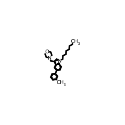 CCCCCCCCn1cc(CN2CCOCC2)c2cc(-c3cccc(C)c3)ccc21